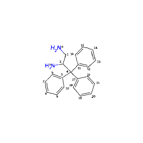 NCC(N)C(c1ccccc1)(c1ccccc1)c1ccccc1